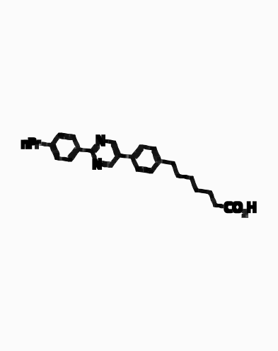 CCCc1ccc(-c2ncc(-c3ccc(CCCCCCC(=O)O)cc3)cn2)cc1